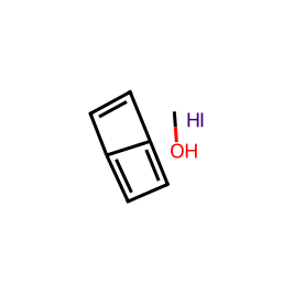 CO.I.c1cc2ccc1-2